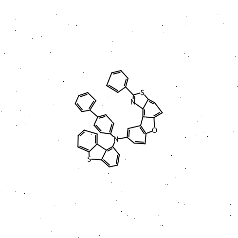 c1ccc(-c2ccc(N(c3ccc4oc5ccc6sc(-c7ccccc7)nc6c5c4c3)c3cccc4sc5ccccc5c34)cc2)cc1